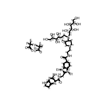 CCn1c(CNC(=O)c2nc3cc[nH]c3nc2N)[n+](CC)c2ccc(C(=O)NCCN3CCC(N(C[C@H](O)[C@@H](O)[C@H](O)[C@H](O)CO)C[C@H](O)[C@@H](O)[C@H](O)[C@H](O)CO)CC3)cc21.O=C(O)C(F)(F)F.O=C([O-])C(F)(F)F